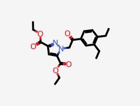 CCOC(=O)c1cc(C(=O)OCC)n(CC(=O)c2ccc(CC)c(CC)c2)n1